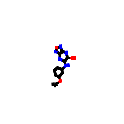 COc1cccc(Nc2nc3nonc3nc2O)c1